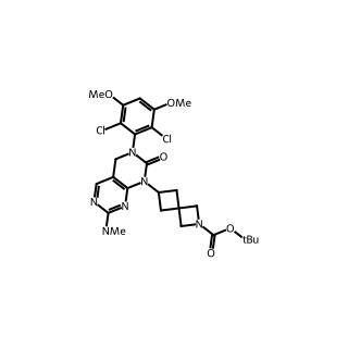 CNc1ncc2c(n1)N(C1CC3(C1)CN(C(=O)OC(C)(C)C)C3)C(=O)N(c1c(Cl)c(OC)cc(OC)c1Cl)C2